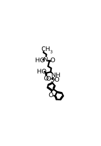 CCCN(O)C(=O)CCC(NS(=O)(=O)c1ccc2oc3ccccc3c2c1)C(=O)O